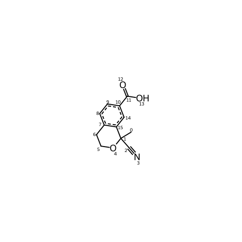 CC1(C#N)OCCc2ccc(C(=O)O)cc21